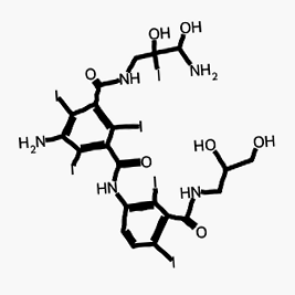 Nc1c(I)c(C(=O)NCC(O)(I)C(N)O)c(I)c(C(=O)Nc2ccc(I)c(C(=O)NCC(O)CO)c2I)c1I